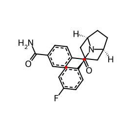 NC(=O)c1ccc(C(=O)N2[C@@H]3CC[C@H]2C[C@@H](c2ccc(F)cc2)C3)cc1